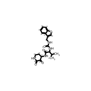 CC(C)C(NC(=O)NCc1coc2ccccc12)C(=O)NC1CCNC(=O)C1=O